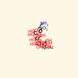 CC(=O)NC1[C@H](O[C@@H]2C(O)[C@@H](O[C@H]3C(CO)O[C@@H](O[C@@H]4C(COc5ccc([N+](=O)[O-])cc5)O[C@@H](OCCCCCN)C(O)[C@H]4O)C(O)[C@H]3O)OC(CO)[C@@H]2O)OC(CO)[C@H](O)[C@@H]1O